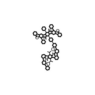 CC(C)c1c2c3cccc4c5ccc6c7ccccc7oc6c5n(c2c(C(C)C)c2c5cccc6c7ccc8c9ccc(-c%10ccc(-c%11c%12c%13cc%14c%15ccccc%15oc%14c%14c%15ccccc%15n(c%12c(-c%12ccccc%12)c%12c%15cc%16c%17ccccc%17oc%16c%16c%17ccccc%17n(c%11%12)c%15%16)c%13%14)cc%10)cc9oc8c7n(c12)c65)c43